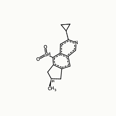 C[C@@H]1Cc2cc3cnc(C4CC4)cc3c([SH](=O)=O)c2C1